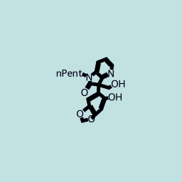 CCCCCN1C(=O)C(CO)(c2cc3c(cc2O)OCO3)c2ncccc21